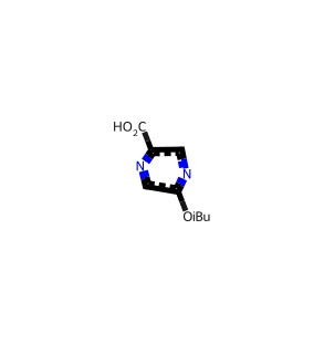 CC(C)COc1cnc(C(=O)O)cn1